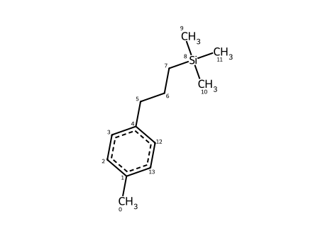 Cc1ccc(CCC[Si](C)(C)C)cc1